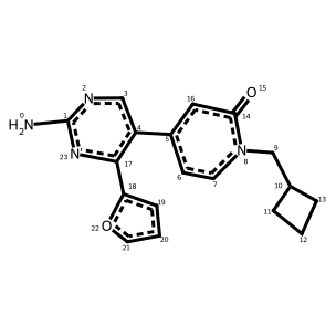 Nc1ncc(-c2ccn(CC3CCC3)c(=O)c2)c(-c2ccco2)n1